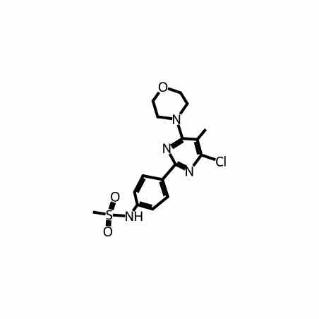 Cc1c(Cl)nc(-c2ccc(NS(C)(=O)=O)cc2)nc1N1CCOCC1